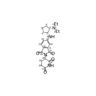 CCN(CC)[C@H]1CCC[C@H]1Nc1ccc2c(c1)C(=O)N(C1CCC(=O)NC1=O)C2=O